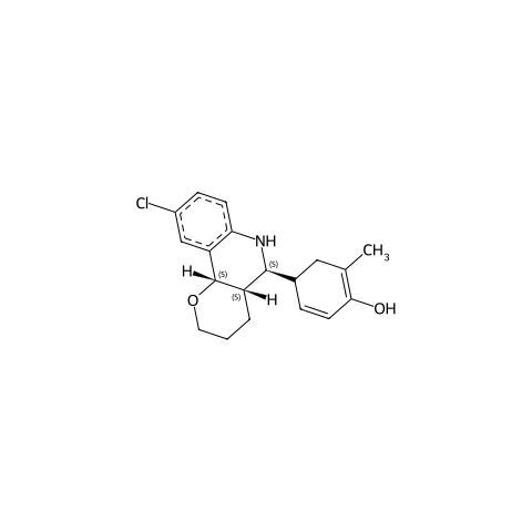 CC1=C(O)C=CC([C@@H]2Nc3ccc(Cl)cc3[C@H]3OCCC[C@H]32)C1